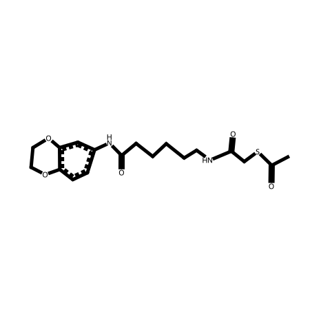 CC(=O)SCC(=O)NCCCCCC(=O)Nc1ccc2c(c1)OCCO2